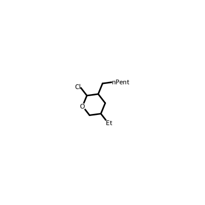 CCCCCCC1CC(CC)COC1Cl